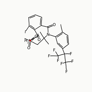 Cc1ccc(C(F)(C(F)(F)F)C(F)(F)F)cc1N(C(=O)c1cccc(I)c1C(N)=O)C(C)(C)CS(C)(=O)=O